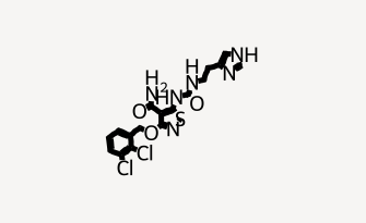 NC(=O)c1c(OCc2cccc(Cl)c2Cl)nsc1NC(=O)NCCc1c[nH]cn1